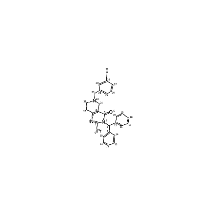 CC(C)c1nc2c(c(=O)n1C(c1ccccc1)c1ccccc1)CN(Cc1cccc(F)c1)CC2